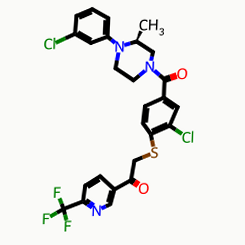 C[C@H]1CN(C(=O)c2ccc(SCC(=O)c3ccc(C(F)(F)F)nc3)c(Cl)c2)CCN1c1cccc(Cl)c1